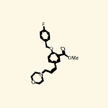 COC(=O)c1cc(/C=C\CN2CCOCC2)ccc1OCc1ccc(F)cc1